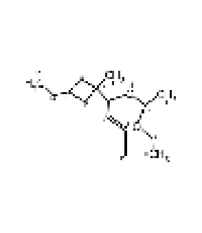 CCOC(C)OC(C=CI)C1(C)CC(CC)C1